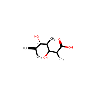 C=C(C)[C@H](O)C(C)C(O)C(C)C(=O)O